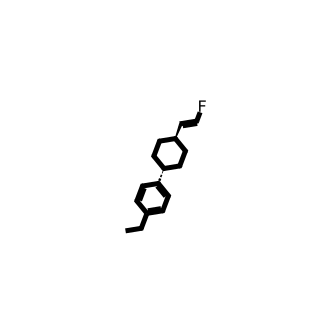 CCc1ccc([C@H]2CC[C@H](C=CF)CC2)cc1